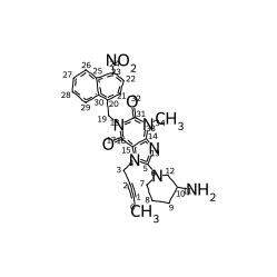 CC#CCn1c(N2CCCC(N)C2)nc2c1c(=O)n(Cc1ccc([N+](=O)[O-])c3ccccc13)c(=O)n2C